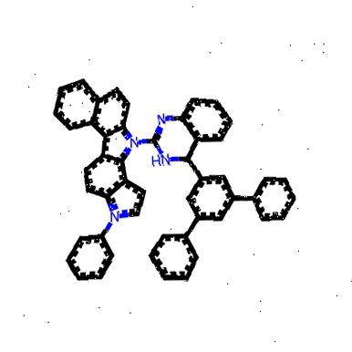 c1ccc(-c2cc(-c3ccccc3)cc(C3NC(n4c5ccc6ccccc6c5c5ccc6c(ccn6-c6ccccc6)c54)=Nc4ccccc43)c2)cc1